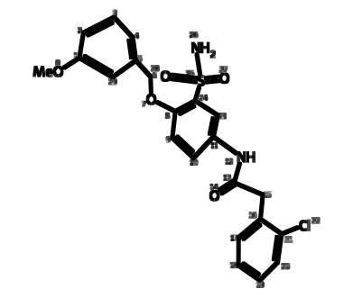 COc1cccc(COc2ccc(NC(=O)Cc3ccccc3Cl)cc2S(N)(=O)=O)c1